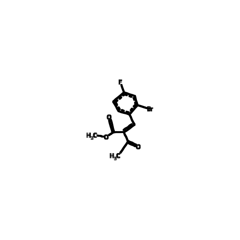 COC(=O)C(=Cc1ccc(F)cc1Br)C(C)=O